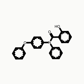 O=C(c1ccccc1O)N(c1ccccc1)c1ccc(Oc2ccccc2)cc1